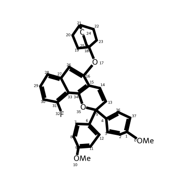 COc1ccc(C2(c3ccc(OC)cc3)C=Cc3c(OC45CCC(CC4)CC5)cc4cccc(F)c4c3O2)cc1